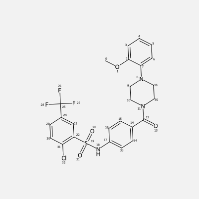 COc1ccccc1N1CCN(C(=O)c2ccc(NS(=O)(=O)c3cc(C(F)(F)F)ccc3Cl)cc2)CC1